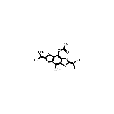 CC(=O)Oc1c2c(c(OC(=O)C#N)c3c1S/C(=C(\S)C=O)S3)S/C(=C(/C)S)S2